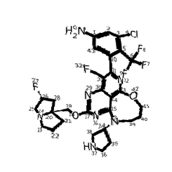 Nc1cc(Cl)c(C(F)(F)F)c(-c2nc3c4c(nc(OC[C@@]56CCCN5C[C@H](F)C6)nc4c2F)N([C@@H]2CCNC2)CCCO3)c1